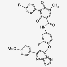 COc1ccc(-c2cc(Oc3ccc(NC(=O)c4cn(C)c(=O)n(-c5ccc(F)cc5)c4=O)cc3F)n3nccc3n2)cc1